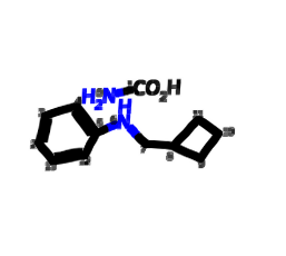 NC(=O)O.c1ccc(NCC2CCC2)cc1